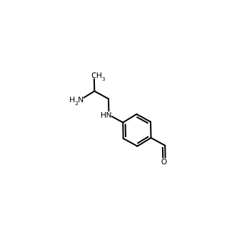 CC(N)CNc1ccc(C=O)cc1